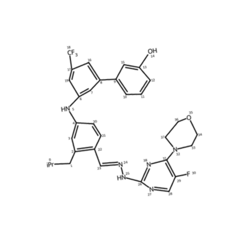 CC(C)Cc1cc(Nc2cc(-c3cccc(O)c3)cc(C(F)(F)F)c2)ccc1/C=N/Nc1ncc(F)c(N2CCOCC2)n1